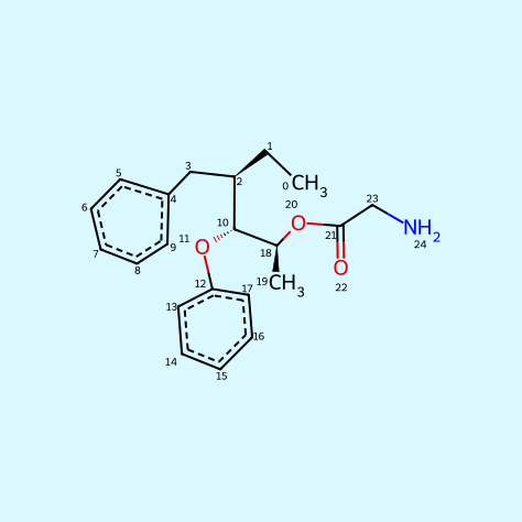 CC[C@H](Cc1ccccc1)[C@@H](Oc1ccccc1)[C@H](C)OC(=O)CN